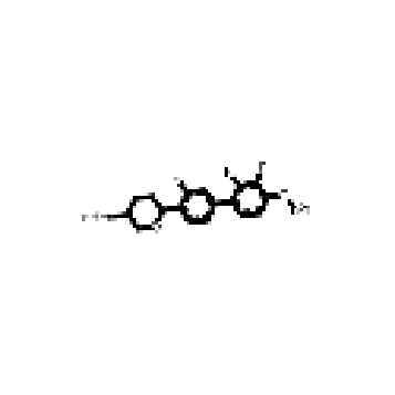 CCCCCCC1CCC(c2ccc(-c3ccc(OCCC)c(F)c3F)cc2F)OC1